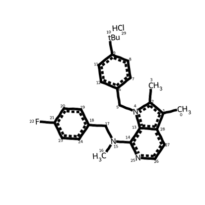 Cc1c(C)n(Cc2ccc(C(C)(C)C)cc2)c2c(N(C)Cc3ccc(F)cc3)nccc12.Cl